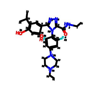 CCNC(=O)c1nnc(-c2cc(C(C)C)c(O)cc2O)n1-c1c(F)cc(N2CCN(CC)CC2)cc1F